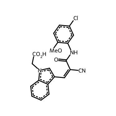 COc1ccc(Cl)cc1NC(=O)C(C#N)=Cc1cn(CC(=O)O)c2ccccc12